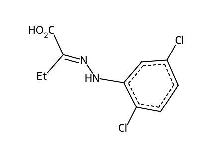 CC/C(=N\Nc1cc(Cl)ccc1Cl)C(=O)O